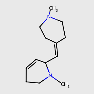 CN1CCC(=CC2C=[C]CCN2C)CC1